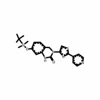 CC(C)(C)[Si](C)(C)Oc1ccc2c(c1)NC(=O)N(c1csc(-c3ccncc3)n1)C2